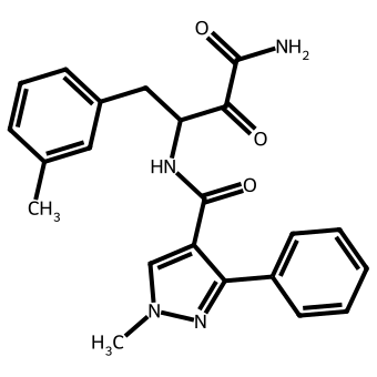 Cc1cccc(CC(NC(=O)c2cn(C)nc2-c2ccccc2)C(=O)C(N)=O)c1